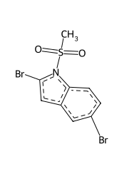 CS(=O)(=O)n1c(Br)cc2cc(Br)ccc21